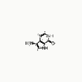 Nc1c[nH]c2c(=O)[nH]cnc12